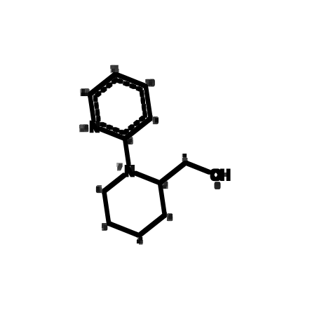 OCC1CCCCN1c1cc[c]cn1